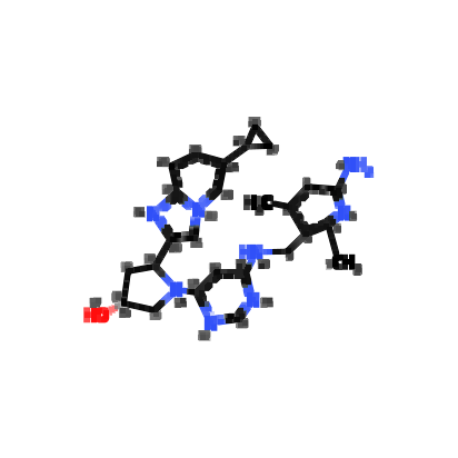 Cc1cc(N)nc(C)c1CNc1cc(N2C[C@H](O)CC2c2cn3cc(C4CC4)ccc3n2)ncn1